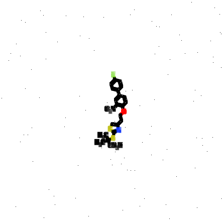 CC(C)(Sc1nc(CCOc2ccc(-c3ccc(F)cc3)cc2[N+](=O)[O-])cs1)C(=O)O